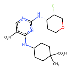 CC1(C(=O)O)CCC(Nc2nc(N[C@H]3CCOC[C@H]3F)ncc2[N+](=O)[O-])CC1